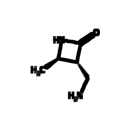 C[C@H]1NC(=O)[C@@H]1CN